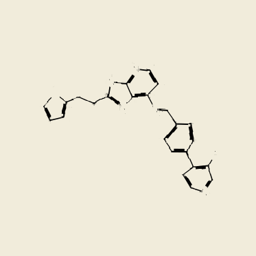 Fc1cnccc1-c1ccc(CNc2ccnc3[nH]c(CCc4ccco4)nc23)cc1